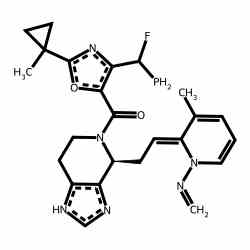 C=NN1C=CC=C(C)/C1=C/C[C@H]1c2nc[nH]c2CCN1C(=O)c1oc(C2(C)CC2)nc1C(F)P